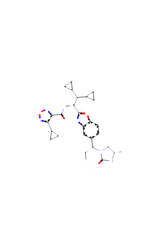 COC[C@@H](c1ccc2oc([C@@H](NC(=O)c3nonc3C3CC3)C(C3CC3)C3CC3)nc2c1)N1C[C@@H](C(F)(F)F)NC1=O